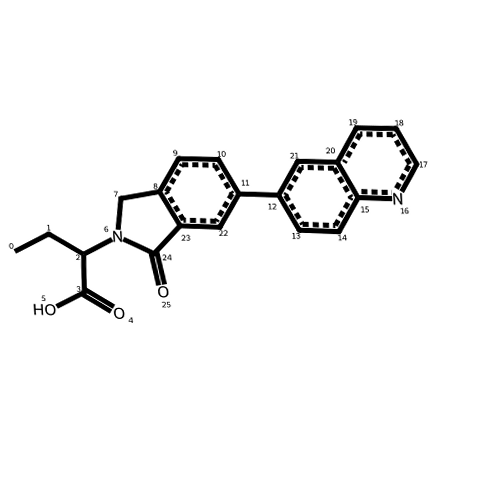 CCC(C(=O)O)N1Cc2ccc(-c3ccc4ncccc4c3)cc2C1=O